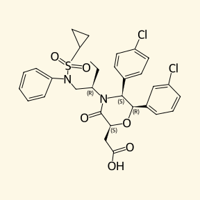 CC[C@H](CN(c1ccccc1)S(=O)(=O)C1CC1)N1C(=O)[C@H](CC(=O)O)O[C@H](c2cccc(Cl)c2)[C@@H]1c1ccc(Cl)cc1